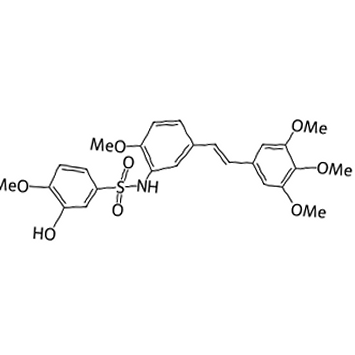 COc1ccc(S(=O)(=O)Nc2cc(C=Cc3cc(OC)c(OC)c(OC)c3)ccc2OC)cc1O